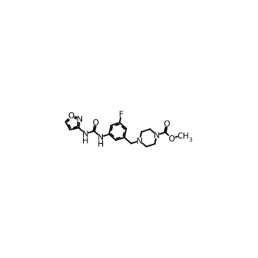 COC(=O)N1CCN(Cc2cc(F)cc(NC(=O)Nc3ccon3)c2)CC1